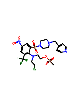 CS(=O)(=O)OCCN(CCBr)c1c(C(F)(F)F)cc([N+](=O)[O-])cc1S(=O)(=O)N1CCN(Cc2ccncc2)CC1